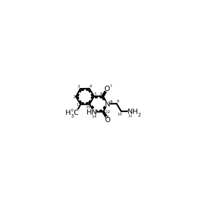 Cc1cccc2c(=O)n(CCN)c(=O)[nH]c12